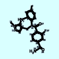 Cc1ccc2c(c1)Nc1c(cnn1C)CN2C(=O)c1ccc(C(N)=O)cc1F